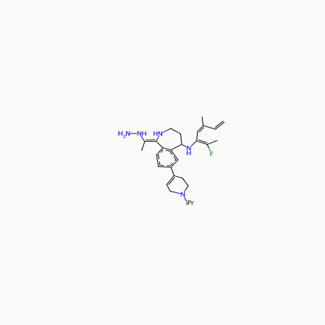 C=C/C(C)=C\C(NC1CCN/C(=C(/C)NN)c2ccc(C3=CCN(C(C)C)CC3)cc21)=C(/C)F